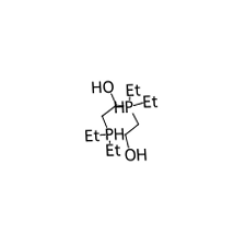 CC[PH]1(CC)CC(O)[PH](CC)(CC)CC1O